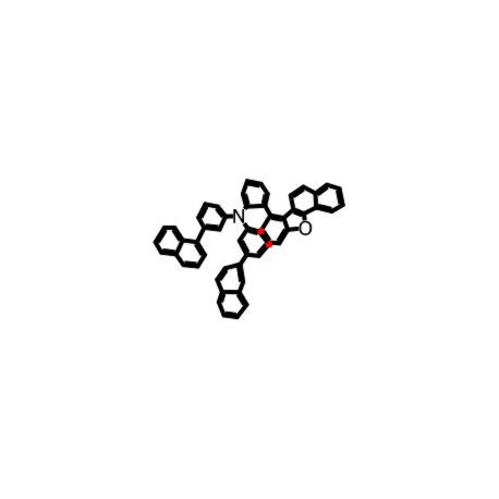 c1cc(-c2ccc3ccccc3c2)cc(N(c2cccc(-c3cccc4ccccc34)c2)c2ccccc2-c2cccc3oc4c5ccccc5ccc4c23)c1